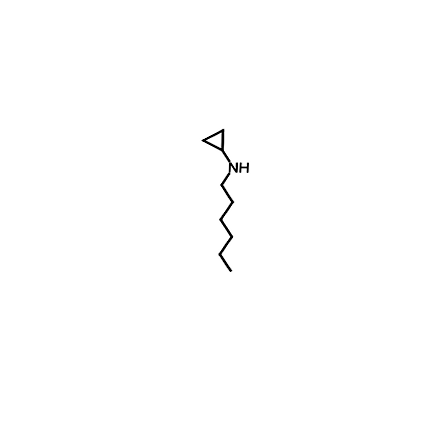 CCCCCCNC1CC1